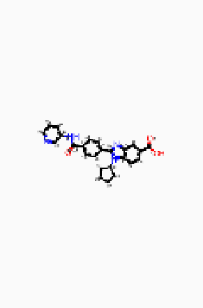 O=C(O)c1ccc2c(c1)nc(-c1ccc(C(=O)Nc3cccnc3)cc1)n2C1CCCC1